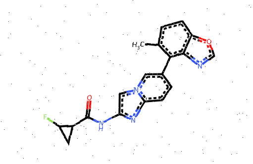 Cc1ccc2ocnc2c1-c1ccc2nc(NC(=O)C3CC3F)cn2c1